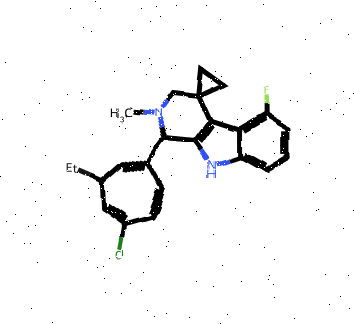 CCC1C=C(Cl)C=CC(C2c3[nH]c4cccc(F)c4c3C3(CC3)CN2C)=C1